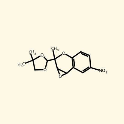 CC1(C)COC(C2(C)Oc3ccc([N+](=O)[O-])cc3C3OC32)O1